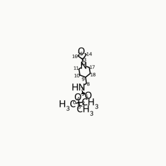 CC(C)(C)OC(=O)NCC1CCN(C2COC2)CC1